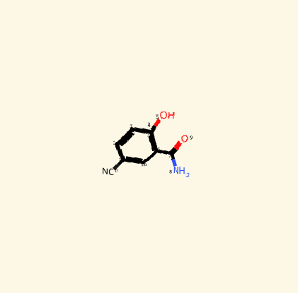 N#Cc1ccc(O)c(C(N)=O)c1